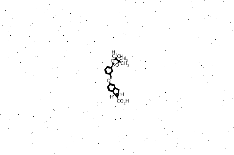 CC1(C)OB(c2cccc(COc3ccc4c(c3)C[C@H]3[C@H](C(=O)O)[C@@H]43)c2)OC1(C)C